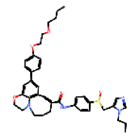 CCCCOCCOc1ccc(-c2cc3c4c(c2)OCCN4CCC/C(C(=O)Nc2ccc([S+]([O-])Cc4cncn4CCC)cc2)=C\3)cc1